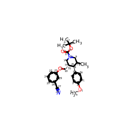 COc1ccc([C@@H]2C(C)CN(C(=O)OC(C)(C)C)C[C@H]2COc2cccc(C#N)c2)cc1